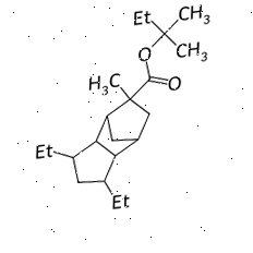 CCC1CC(CC)C2C1C1CC2C(C)(C(=O)OC(C)(C)CC)C1